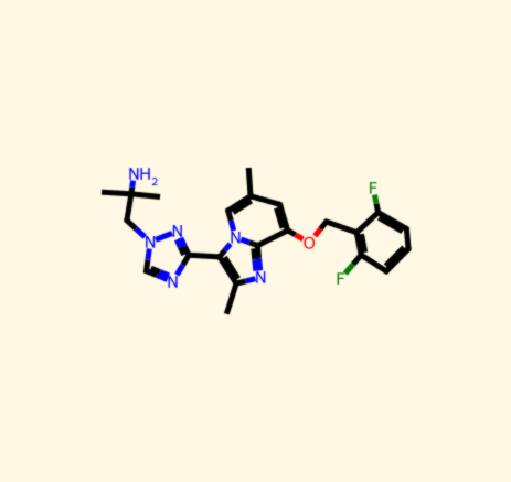 Cc1cc(OCc2c(F)cccc2F)c2nc(C)c(-c3ncn(CC(C)(C)N)n3)n2c1